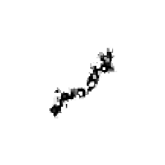 COc1cc2nn(C3CCN(CC4CCC5(CC4)CCN(C(=O)c4ccc(OC)c(N6CCC(=O)NC6=O)c4)CC5)CC3)cc2cc1NC(=O)c1cccc(C)n1